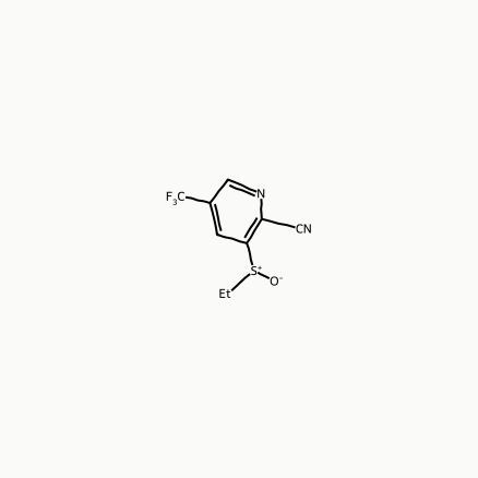 CC[S+]([O-])c1cc(C(F)(F)F)cnc1C#N